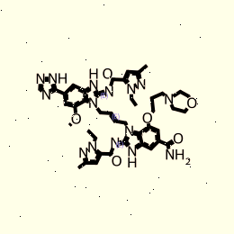 CCn1nc(C)cc1C(=O)/N=c1\[nH]c2cc(-c3ncn[nH]3)cc(OC)c2n1C/C=C/Cn1/c(=N/C(=O)c2cc(C)nn2CC)[nH]c2cc(C(N)=O)cc(OCCCN3CCOCC3)c21